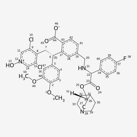 COc1ccc([C@H](Cc2c(Cl)c[n+](O)cc2Cl)c2cc(CNC(C(=O)O[C@H]3CN4CCC3CC4)c3ccc(F)cc3)ccc2C(=O)[O-])cc1OC